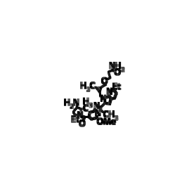 CCc1ccc2cc(-c3nc4cc(C(=O)N5C(CC)CC(N)C5C)cc(OC)n4c3C)n(CC3C(C)C3COCCC(N)=O)c2n1